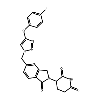 O=C1CCC(N2Cc3cc(Cn4cc(Oc5ccc(F)cc5)nn4)ccc3C2=O)C(=O)N1